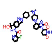 CN(C[C@H]1CC[C@H](n2cc3cc(NC(=O)c4ncccc4F)c(C(C)(C)O)cc3n2)CC1)C1CCN(c2cccc3c2n(C)c(=O)n3C2CCC(=O)NC2=O)CC1